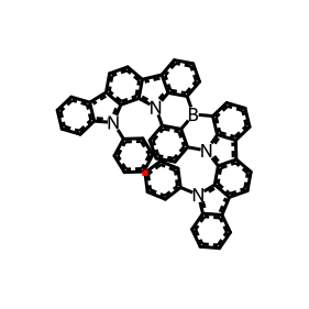 c1ccc(-n2c3ccccc3c3ccc4c5cccc6c5n(c4c32)-c2cccc3c2B6c2cccc4c5ccc6c7ccccc7n(-c7ccccc7)c6c5n-3c24)cc1